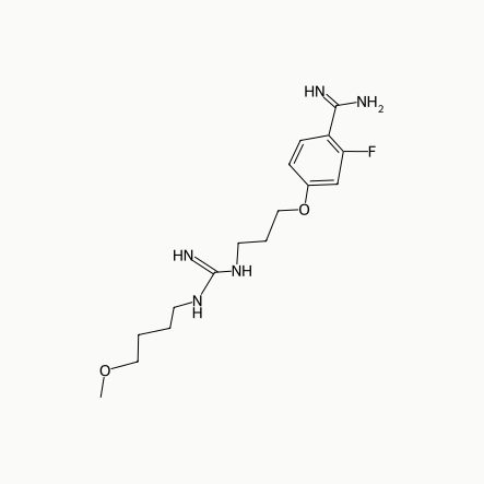 COCCCCNC(=N)NCCCOc1ccc(C(=N)N)c(F)c1